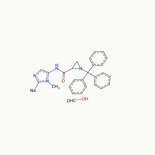 Cn1c(NC(=O)C2CN2C(c2ccccc2)(c2ccccc2)c2ccccc2)cn[c]1[Na].O=CO